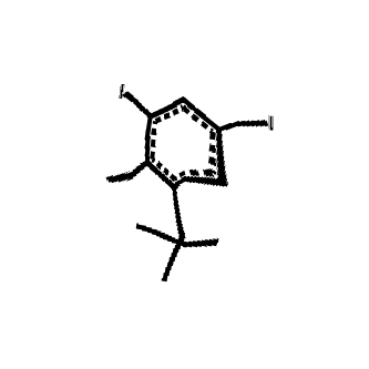 Cc1c(I)cc(I)cc1C(C)(C)C